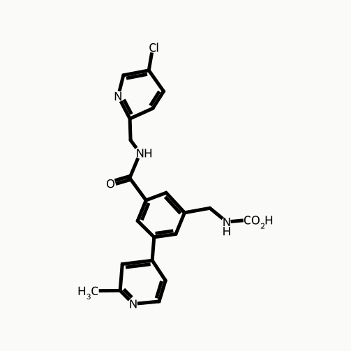 Cc1cc(-c2cc(CNC(=O)O)cc(C(=O)NCc3ccc(Cl)cn3)c2)ccn1